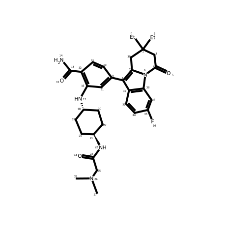 CCC1(CC)CC(=O)n2c(c(-c3ccc(C(N)=O)c(N[C@H]4CC[C@H](NC(=O)CN(C)C)CC4)c3)c3ccc(F)cc32)C1